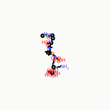 Cc1c(-c2ccc(-c3ccc4cccc(C(=O)Nc5nc6ccccc6s5)c4c3)nc2C(=O)O)cnn1CC12CC3(C)CC(C)(C1)CC(OCCN(CCS(=O)(=O)O)C(=O)OC/C=C/c1ccc(O[C@@H]4O[C@H](C(=O)O)[C@@H](O)[C@H](O)[C@H]4O)c(NCCCN)c1)(C3)C2